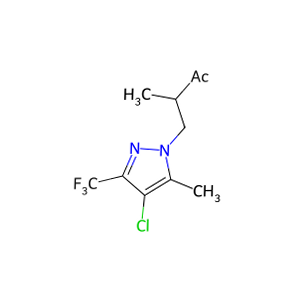 CC(=O)C(C)Cn1nc(C(F)(F)F)c(Cl)c1C